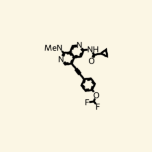 CNc1ncc(C#Cc2ccc(OC(F)F)cc2)c2cc(NC(=O)C3CC3)ncc12